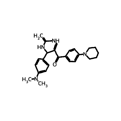 C=C1NC=C(C(=O)c2ccc(N3CCCCC3)cc2)C(c2ccc(N(C)C)cc2)N1